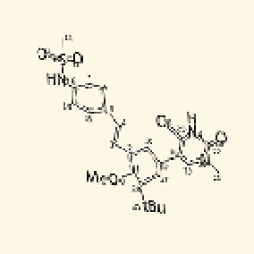 COc1c(C=Cc2ccc(NS(C)(=O)=O)cc2)cc(-c2cn(C)c(=O)[nH]c2=O)cc1C(C)(C)C